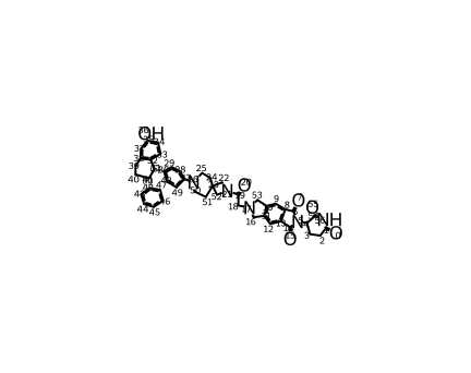 O=C1CCC(N2C(=O)c3cc4c(cc3C2=O)CN(CC(=O)N2CC3(CCN(c5ccc([C@H]6c7ccc(O)cc7CC[C@H]6c6ccccc6)cc5)CC3)C2)C4)C(=O)N1